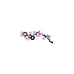 C#CCCC[N+](C)([O-])/C(Br)=C/COC(=O)N(C)CC(=O)Nc1cccc2c1C(=O)N(C1CCC(=O)NC1=O)C2=O